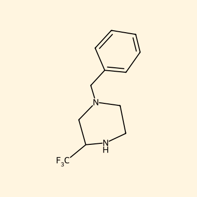 FC(F)(F)C1CN(Cc2ccccc2)CCN1